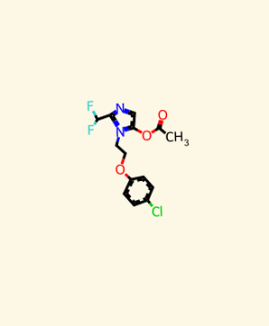 CC(=O)Oc1cnc(C(F)F)n1CCOc1ccc(Cl)cc1